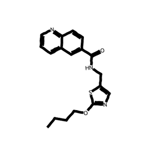 CCCCOc1ncc(CNC(=O)c2ccc3ncccc3c2)s1